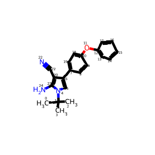 CC(C)(C)n1cc(-c2ccc(Oc3ccccc3)cc2)c(C#N)c1N